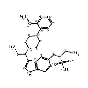 CCC(c1c[nH]c2ccc(CN(CC)S(C)(=O)=O)cc12)N1CCN(c2ncncc2OC)CC1